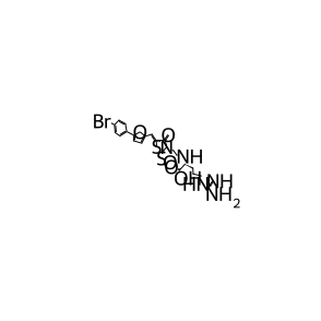 N=C(N)NCCC[C@H](NC(=O)CN1C(=O)C(=Cc2ccc(-c3ccc(Br)cc3)o2)SC1=S)C(=O)O